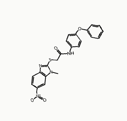 Cn1c(SCC(=O)Nc2ccc(Oc3ccccc3)cc2)nc2ccc([N+](=O)[O-])cc21